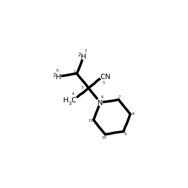 [2H]C([2H])C(C)(C#N)N1CCCCC1